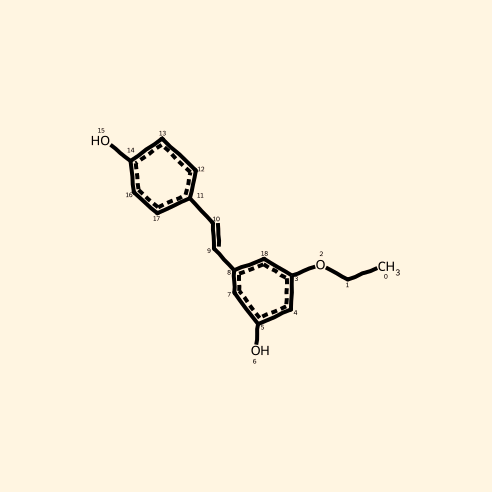 CCOc1cc(O)cc(/C=C/c2ccc(O)cc2)c1